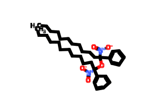 CCCCCCCCCCCC(OC(CCCCCCCCCCC)(c1ccccc1)[N+](=O)[O-])(c1ccccc1)[N+](=O)[O-]